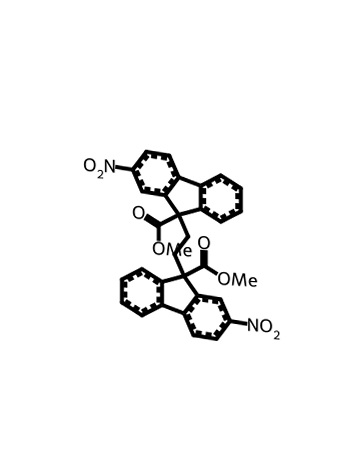 COC(=O)C1(CCC2(C(=O)OC)c3ccccc3-c3ccc([N+](=O)[O-])cc32)c2ccccc2-c2ccc([N+](=O)[O-])cc21